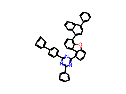 c1ccc(-c2ccc(-c3nc(-c4ccccc4)nc(-c4cccc5oc6c(-c7ccc(-c8ccccc8)c8ccccc78)cccc6c45)n3)cc2)cc1